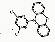 Clc1cc(Cl)nc(N2c3ccccc3Oc3ccccc32)n1